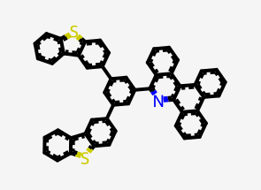 c1ccc2c(c1)sc1ccc(-c3cc(-c4ccc5sc6ccccc6c5c4)cc(-c4nc5c6ccccc6c6ccccc6c5c5ccccc45)c3)cc12